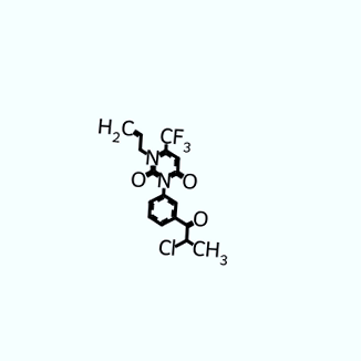 C=CCn1c(C(F)(F)F)cc(=O)n(-c2cccc(C(=O)C(C)Cl)c2)c1=O